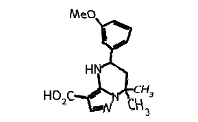 COc1cccc(C2CC(C)(C)n3ncc(C(=O)O)c3N2)c1